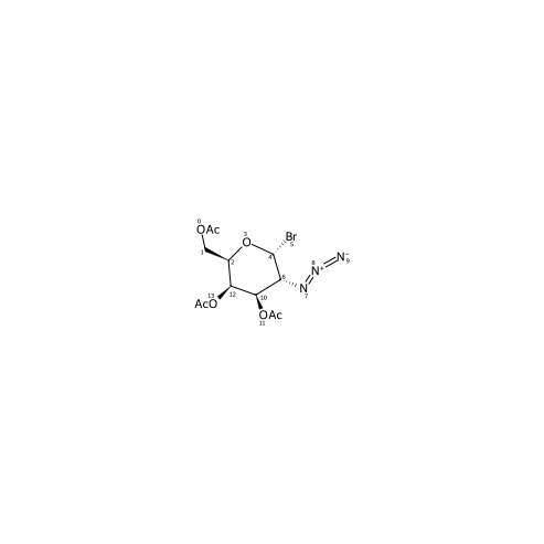 CC(=O)OC[C@H]1O[C@H](Br)[C@H](N=[N+]=[N-])[C@@H](OC(C)=O)[C@H]1OC(C)=O